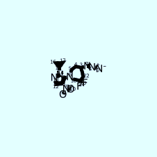 [N-]=[N+]=NC1CCN(c2c([N+](=O)[O-])cnn2C2CC2)CC(F)(F)C1